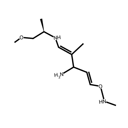 CNO/C=C/C(N)/C(C)=C/N[C@H](C)COC